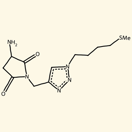 CSCCCCn1cc(CN2C(=O)CC(N)C2=O)nn1